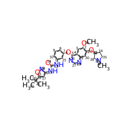 COc1cc2c(Oc3cccc(NC(=O)Nc4cc(C(C)(C)C)on4)c3)ncnc2cc1O[C@H]1CCN(C)C1